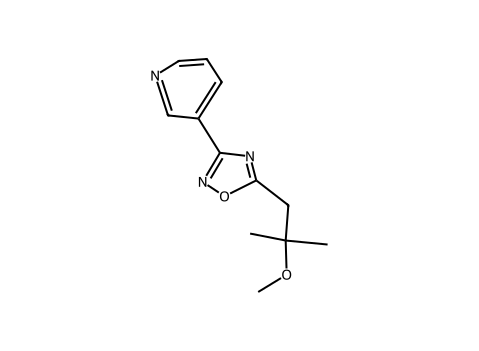 COC(C)(C)Cc1nc(-c2cccnc2)no1